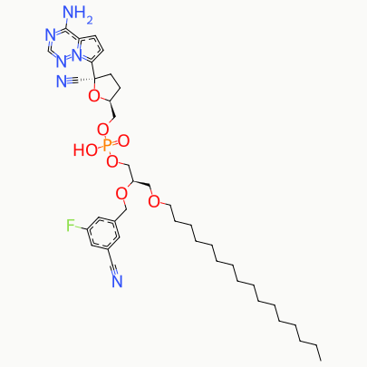 CCCCCCCCCCCCCCCCOC[C@H](COP(=O)(O)OC[C@@H]1CC[C@](C#N)(c2ccc3c(N)ncnn23)O1)OCc1cc(F)cc(C#N)c1